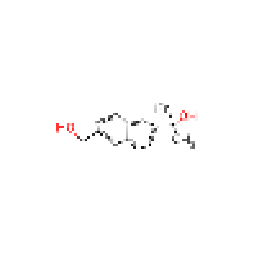 CC(C)C(C)(O)c1ccc2cc(CO)ccc2c1